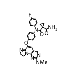 CNc1ncc2c(n1)N1CCN=C1C(Oc1ccc(N(C(=O)C3(C(N)=O)CC3)c3ccc(F)cc3)cc1)=C2